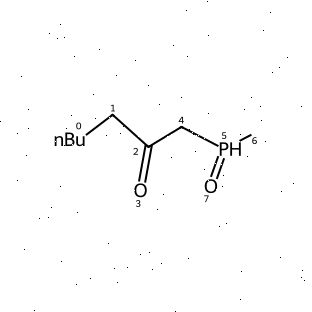 CCCCCC(=O)C[PH](C)=O